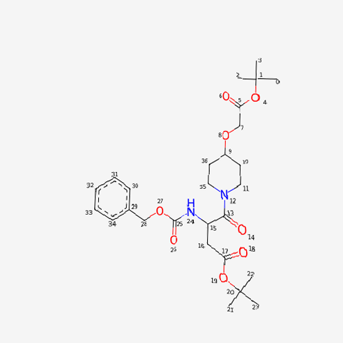 CC(C)(C)OC(=O)COC1CCN(C(=O)C(CC(=O)OC(C)(C)C)NC(=O)OCc2ccccc2)CC1